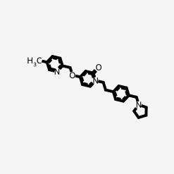 Cc1ccc(COc2ccn(CCc3ccc(CN4CCCC4)cc3)c(=O)c2)nc1